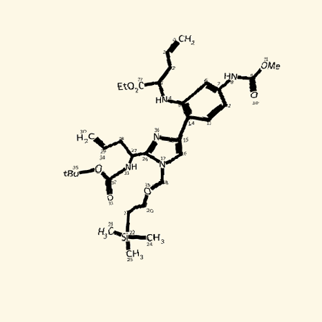 C=CCC(Nc1cc(NC(=O)OC)ccc1-c1cn(COCC[Si](C)(C)C)c(C(CC=C)NC(=O)OC(C)(C)C)n1)C(=O)OCC